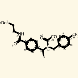 CCCCCCCCCCCCNC(=O)c1ccc(C(C)N(Cc2ccc(C(F)(F)F)cc2)C(=O)C(=O)OCC)cc1